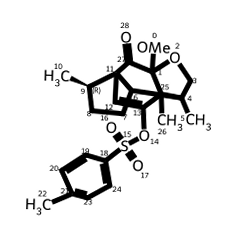 COC12OCC3(C)C4CC[C@@H](C)C4(C=C(OS(=O)(=O)c4ccc(C)cc4)C13C)C2=O